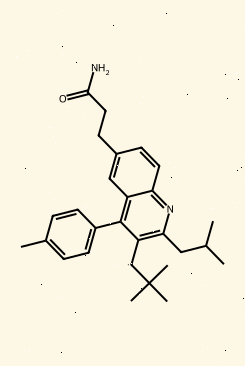 Cc1ccc(-c2c([CH]C(C)(C)C)c(CC(C)C)nc3ccc(CCC(N)=O)cc23)cc1